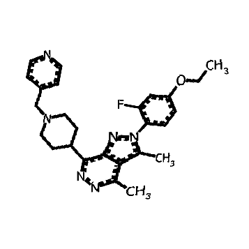 CCOc1ccc(-n2nc3c(C4CCN(Cc5ccncc5)CC4)nnc(C)c3c2C)c(F)c1